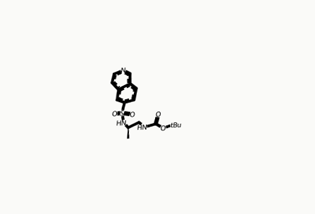 C[C@H](CNC(=O)OC(C)(C)C)NS(=O)(=O)c1ccc2cnccc2c1